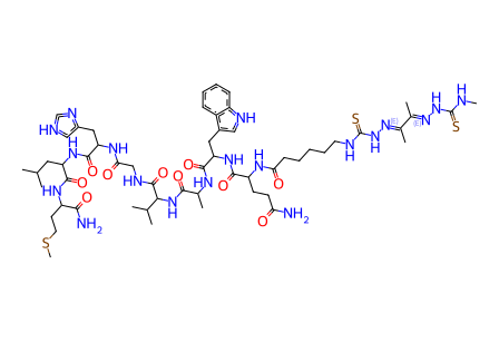 CNC(=S)N/N=C(C)/C(C)=N/NC(=S)NCCCCCC(=O)NC(CCC(N)=O)C(=O)NC(Cc1c[nH]c2ccccc12)C(=O)NC(C)C(=O)NC(C(=O)NCC(=O)NC(Cc1c[nH]cn1)C(=O)NC(CC(C)C)C(=O)NC(CCSC)C(N)=O)C(C)C